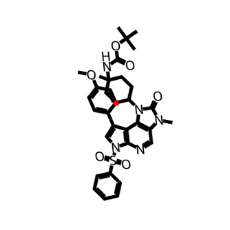 COc1ccc(-c2cn(S(=O)(=O)c3ccccc3)c3ncc4c(c23)n(C2CCC(C)(NC(=O)OC(C)(C)C)CC2)c(=O)n4C)cc1